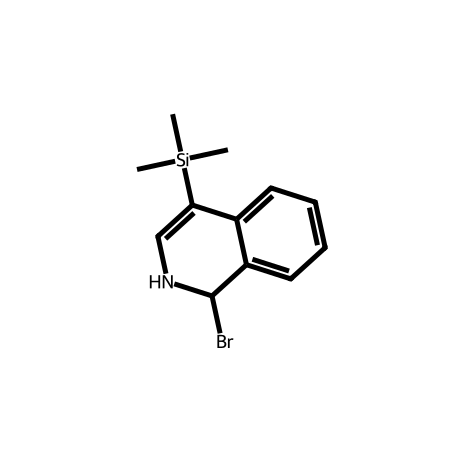 C[Si](C)(C)C1=CNC(Br)c2ccccc21